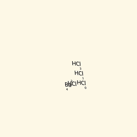 Cl.Cl.Cl.Cl.[Ba]